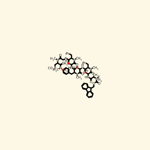 CC(C)CC(NC(=O)C(C)N(C)C(=O)OCC1c2ccccc2-c2ccccc21)C(=O)N(C)C(CC(C)C)C(=O)NC(C)C(=O)N(C)C(Cc1ccccc1)C(=O)NC(C)C(=O)N(C)C(CC(C)C)C(=O)NCC(=O)N(C)C(CC(=O)O)C(=O)N(C)C